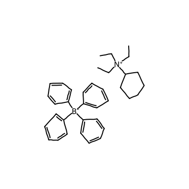 CC[N+](CC)(CC)C1CCCCC1.c1ccc([B-](c2ccccc2)(c2ccccc2)c2ccccc2)cc1